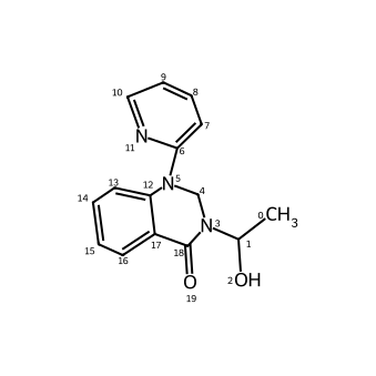 CC(O)N1CN(c2ccccn2)c2ccccc2C1=O